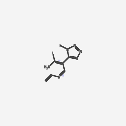 C=C/N=C\C(=C(/N)I)c1nnnn1I